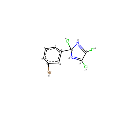 ClC1=NC(Cl)(c2cccc(Br)c2)N=C1Cl